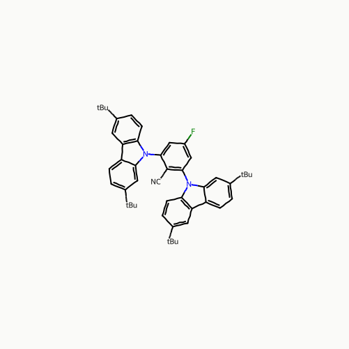 CC(C)(C)c1ccc2c(c1)c1ccc(C(C)(C)C)cc1n2-c1cc(F)cc(-n2c3ccc(C(C)(C)C)cc3c3ccc(C(C)(C)C)cc32)c1C#N